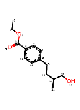 CCOC(=O)c1ccc(CCC(C)CO)cc1